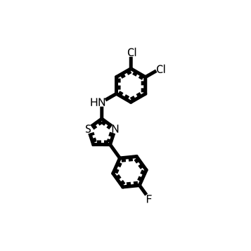 Fc1ccc(-c2csc(Nc3ccc(Cl)c(Cl)c3)n2)cc1